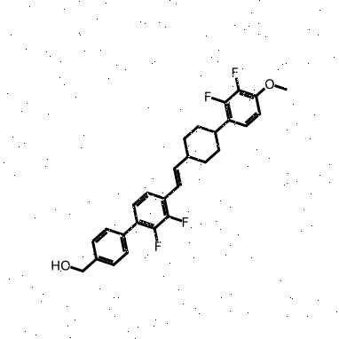 COc1ccc(C2CCC(/C=C/c3ccc(-c4ccc(CO)cc4)c(F)c3F)CC2)c(F)c1F